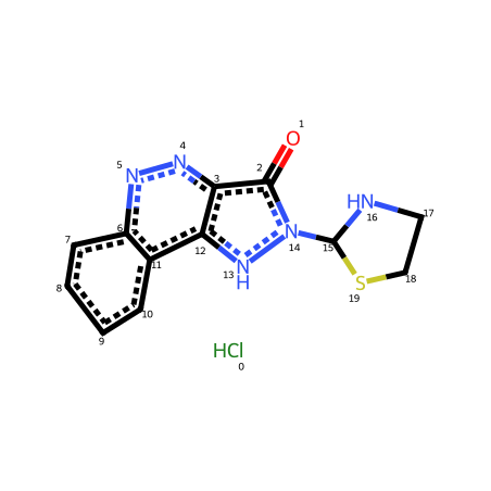 Cl.O=c1c2nnc3ccccc3c2[nH]n1C1NCCS1